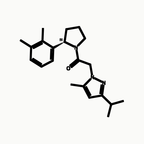 Cc1cccc([C@@H]2CCCN2C(=O)Cn2nc(C(C)C)cc2C)c1C